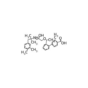 Cc1ccc(CC(C)(C)NC[C@@H](O)COC(C)c2ccccc2-c2ccc(C(=O)O)c(C)c2)cc1C